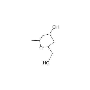 CC1CC(O)CC(CO)O1